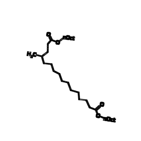 CCCCCCCCOC(=O)CCCCCCCCCCCC(C)CCC(=O)OCCCCCCCC